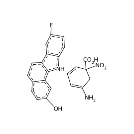 NC1=CC=CC(C(=O)O)([N+](=O)[O-])C1.Oc1ccc2ccc3c4cc(F)ccc4[nH]c3c2c1